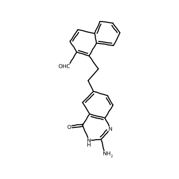 Nc1nc2ccc(CCc3c(C=O)ccc4ccccc34)cc2c(=O)[nH]1